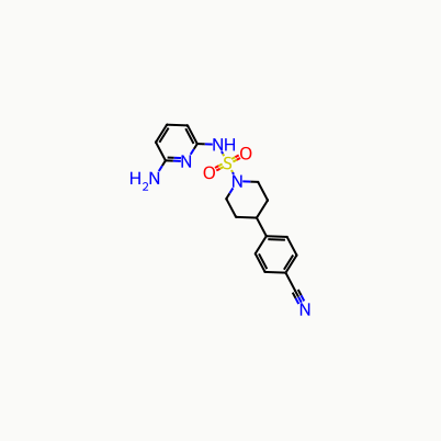 N#Cc1ccc(C2CCN(S(=O)(=O)Nc3cccc(N)n3)CC2)cc1